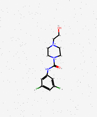 O=C(Nc1cc(F)cc(F)c1)N1CCN(CCO)CC1